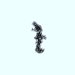 C=CC(=O)Nc1cc(Nc2nc(-c3ccnc(N4CCn5c(cc6c5CC(C)(C)C6)C4=O)c3CO)cnc2OC)ccc1N1CCN(C2CCN(c3cccc4c3NC(=O)C4(C)C)[C@@H](C)C2)C[C@@H]1C